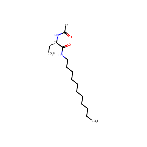 CCC(=O)N[C@@H](CC(=O)O)C(=O)NCCCCCCCCCCC(=O)O